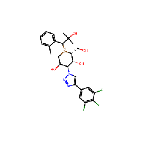 Cc1ccccc1C([SH]1C[C@H](O)[C@H](n2cc(-c3cc(F)c(F)c(F)c3)nn2)[C@@H](O)[C@H]1CO)C(C)(C)O